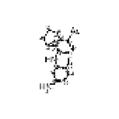 CC(=O)c1ncc(Nc2cc(C)ccc2F)c2c1C1CCC2CC1